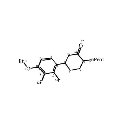 CCCCCC1CCC(c2ccc(OCC)c(F)c2F)CC1=O